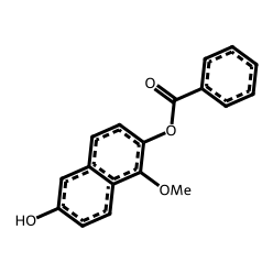 COc1c(OC(=O)c2ccccc2)ccc2cc(O)ccc12